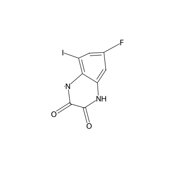 O=C1[N]c2c(I)cc(F)cc2NC1=O